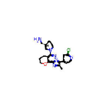 Cc1nc2c3c(c(N4CCC[C@H](CN)C4)nn2c1-c1ccnc(Cl)c1)CCCO3